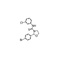 S=C(Nc1cccc(Cl)c1)N1CCOC1c1ccc(Br)cc1